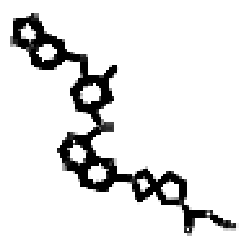 Cc1cc(Nc2ncnc3ccc(N4CC5(CCN(C(=O)OC(C)(C)C)C5)C4)nc23)ccc1Oc1ccn2ncnc2c1